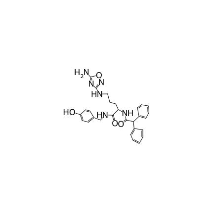 Nc1nc(NCCCC(NC(=O)C(c2ccccc2)c2ccccc2)C(=O)NCc2ccc(O)cc2)no1